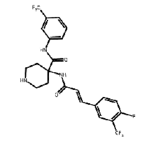 O=C(/C=C/c1ccc(F)c(C(F)(F)F)c1)NC1(C(=O)Nc2cccc(C(F)(F)F)c2)CCNCC1